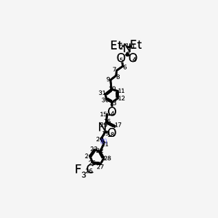 CCN(CC)C(=O)OCCCCc1ccc(OCc2coc(/C=C/c3ccc(C(F)(F)F)cc3)n2)cc1